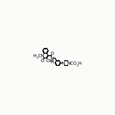 Cn1c(=O)c(O)c(C(=O)NCc2cccc(N3CCN(C(=O)O)CC3)c2)c2ccccc21